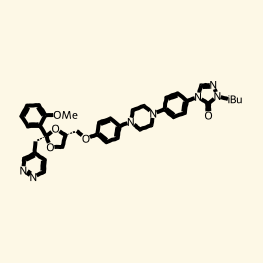 CCC(C)n1ncn(-c2ccc(N3CCN(c4ccc(OC[C@@H]5CO[C@@](Cc6ccnnc6)(c6ccccc6OC)O5)cc4)CC3)cc2)c1=O